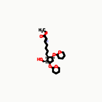 COC(=O)/C=C/CCCC[C@@H]1[C@@H](CO)[C@H](OC2CCCCO2)C[C@@H]1OC1CCCCO1